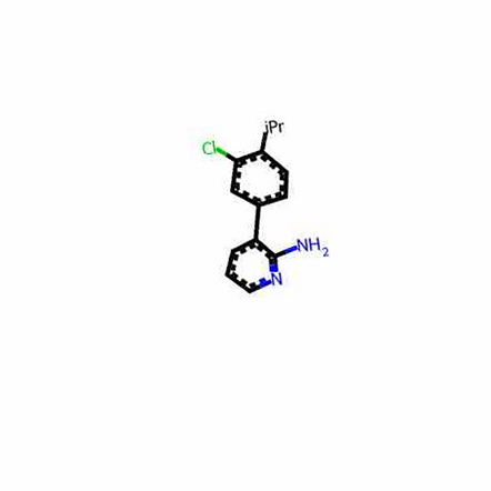 CC(C)c1ccc(-c2cccnc2N)cc1Cl